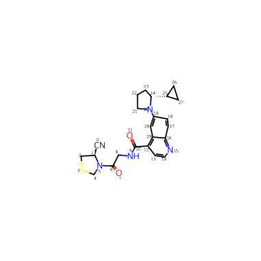 N#C[C@@H]1CSCN1C(=O)CNC(=O)c1ccnc2ccc(N3CCC[C@@H]3C3CC3)cc12